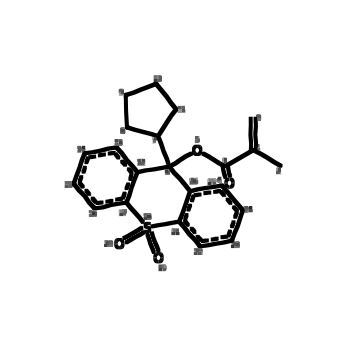 C=C(C)C(=O)OC1(C2CCCC2)c2ccccc2S(=O)(=O)c2ccccc21